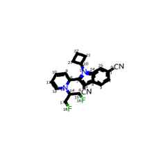 N#Cc1ccc2c(C#N)c(C3C=CC=CN3C(CF)CF)n(C3CCC3)c2c1